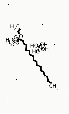 C=CCO[Si](CCCCCCCCCCCCCCCCCC)(OC)OC.O[Si](O)(O)O